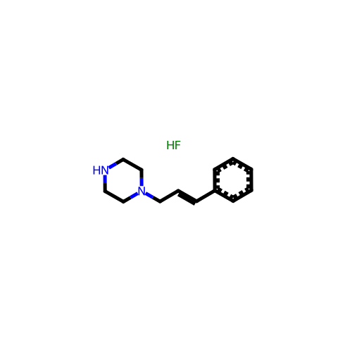 C(=Cc1ccccc1)CN1CCNCC1.F